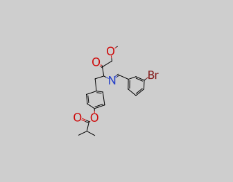 COCC(=O)C(Cc1ccc(OC(=O)C(C)C)cc1)N=Cc1cccc(Br)c1